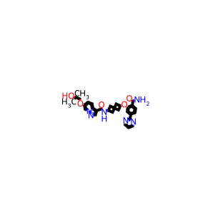 CC(C)(O)COc1ccc2c(C(=O)NC3CC4(C3)CC(Oc3cc(-c5ncccn5)ccc3C(N)=O)C4)cnn2c1